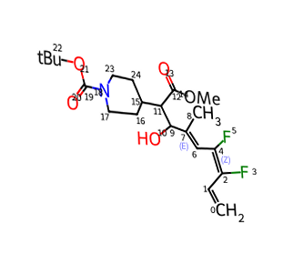 C=C/C(F)=C(F)\C=C(/C)C(O)C(C(=O)OC)C1CCN(C(=O)OC(C)(C)C)CC1